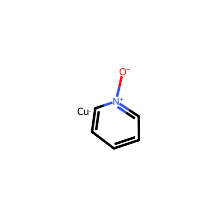 [Cu].[O-][n+]1ccccc1